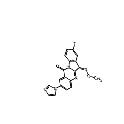 CO/N=C1/c2cc(F)ccc2-n2c1nc1ccc(-n3ccnc3)cc1c2=O